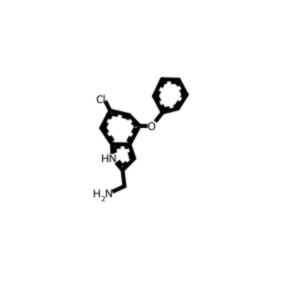 NCc1cc2c(Oc3ccccc3)cc(Cl)cc2[nH]1